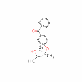 CC(O)CC(C)(C)Oc1ccc(C(=O)c2ccccc2)cc1